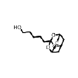 OCCCCCC12OC3CC(CC(C3)O1)O2